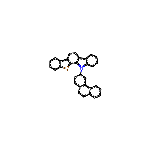 c1ccc2c(c1)ccc1ccc(-n3c4ccccc4c4ccc5c6ccccc6sc5c43)cc12